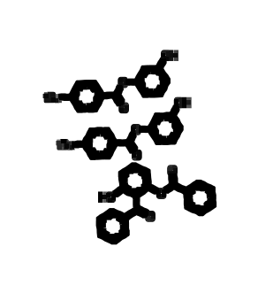 CC(C)(C)c1ccc(C(=O)Oc2cccc(O)c2)cc1.CC(C)(C)c1ccc(C(=O)Oc2cccc(O)c2)cc1.O=C(Oc1cccc(O)c1C(=O)c1ccccc1)c1ccccc1